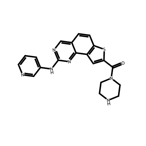 O=C(c1cc2c(ccc3cnc(Nc4cccnc4)nc32)s1)N1CCNCC1